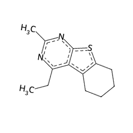 CCc1nc(C)nc2sc3c(c12)CCCC3